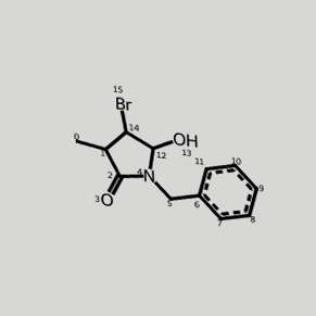 CC1C(=O)N(Cc2ccccc2)C(O)C1Br